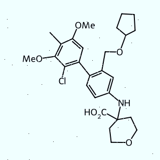 COc1cc(-c2ccc(NC3(C(=O)O)CCOCC3)cc2COC2CCCC2)c(Cl)c(OC)c1C